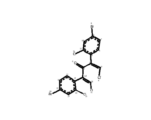 O=C(C(=CCl)c1ccc(Br)cc1Cl)C(=CCl)c1ccc(Br)cc1Cl